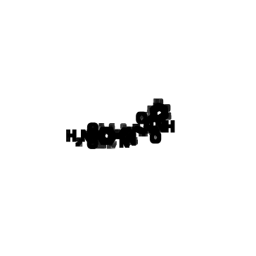 NS(=O)(=O)c1ccc(-c2cn(CCn3c(=O)[nH]c4ccccc4c3=O)nn2)cc1